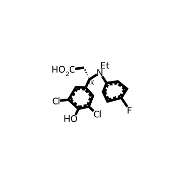 CCN(c1ccc(F)cc1)[C@@H](CC(=O)O)c1cc(Cl)c(O)c(Cl)c1